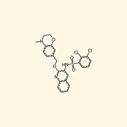 CN1CCOc2cc(COc3nc4ccccc4cc3NS(=O)(=O)c3cccc(Cl)c3Cl)ccc21